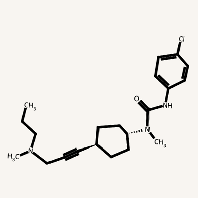 CCCN(C)CC#C[C@H]1CC[C@H](N(C)C(=O)Nc2ccc(Cl)cc2)CC1